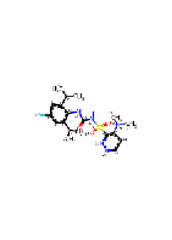 CC(C)c1cc(F)cc(C(C)C)c1NC(=O)NS(=O)(=O)c1nnccc1N(C)C